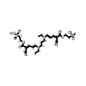 CCN(/C=C/C=C(\C#N)C(=O)OCCS(C)(=O)=O)CCCN(/C=C/C=C(\C#N)C(=O)OCCS(=O)(=O)O)CC